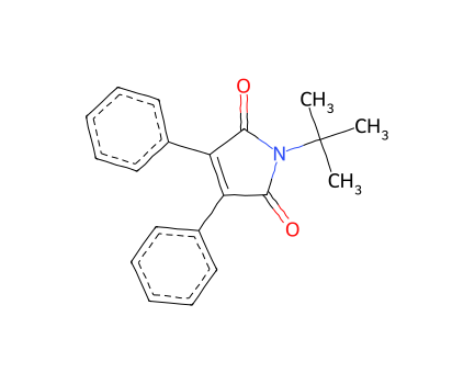 CC(C)(C)N1C(=O)C(c2ccccc2)=C(c2ccccc2)C1=O